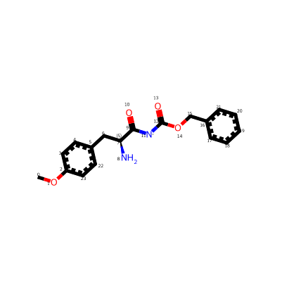 COc1ccc(C[C@H](N)C(=O)[N]C(=O)OCc2ccccc2)cc1